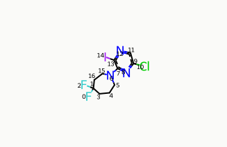 FC1(F)CCCN(c2nc(Cl)cnc2I)CC1